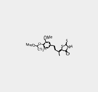 COc1cc(C=CC(C)=C2SC(=S)NC2=O)ccc1OC(OC)C(=O)O